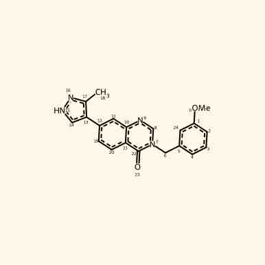 COc1cccc(Cn2cnc3cc(-c4c[nH]nc4C)ccc3c2=O)c1